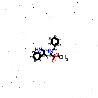 COC(=O)[C@H](Cc1c[nH]c2ccccc12)NCc1ccccc1